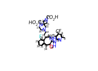 Cc1cc(C(F)(F)F)c(C#N)c(N[C@@H]2NC[C@@H](CCN3CCN(C(=O)O)C4(C3)CN(C(=O)O)C4)c3c(F)cccc3[C@H](C)C2=O)n1